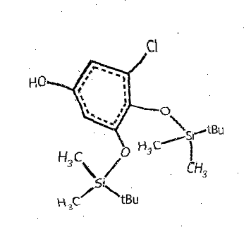 CC(C)(C)[Si](C)(C)Oc1cc(O)cc(Cl)c1O[Si](C)(C)C(C)(C)C